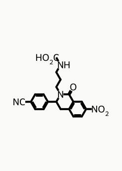 N#Cc1ccc(C2Cc3ccc([N+](=O)[O-])cc3C(=O)N2CCCNC(=O)O)cc1